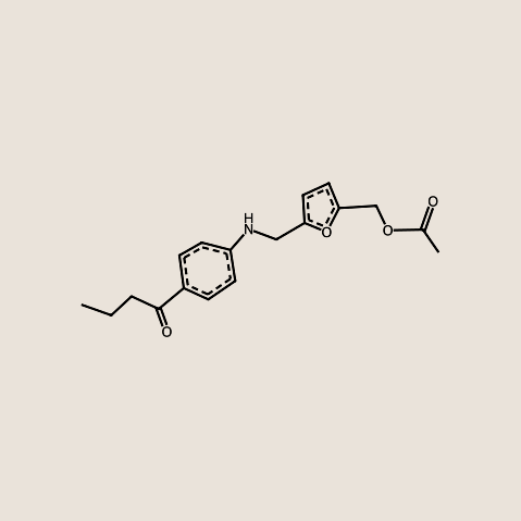 CCCC(=O)c1ccc(NCc2ccc(COC(C)=O)o2)cc1